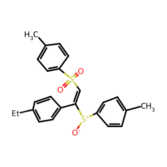 CCc1ccc(/C(=C\S(=O)(=O)c2ccc(C)cc2)[S+]([O-])c2ccc(C)cc2)cc1